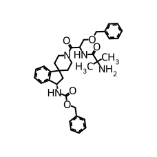 CC(C)(N)C(=O)NC(COCc1ccccc1)C(=O)N1CCC2(CC1)C[C@@H](NC(=O)OCc1ccccc1)c1ccccc12